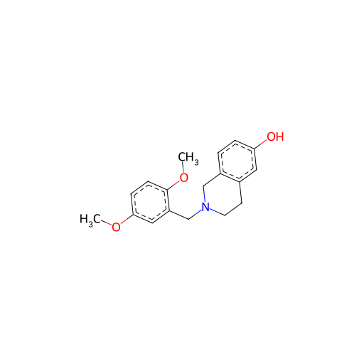 COc1ccc(OC)c(CN2CCc3cc(O)ccc3C2)c1